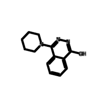 Oc1nnc(N2CCCCC2)c2ccccc12